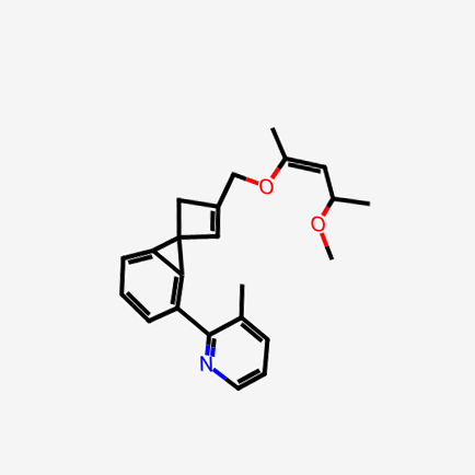 COC(C)/C=C(/C)OCC1=CC2(C1)c1cccc(-c3ncccc3C)c12